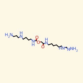 NCCCNCCCCNC(=O)OCC(=O)NCCCCCCNC=NN